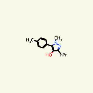 CCCc1nn(C)c(-c2ccc(C)cc2)c1O